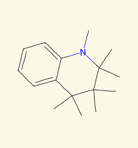 CN1c2ccccc2C(C)(C)C(C)(C)C1(C)C